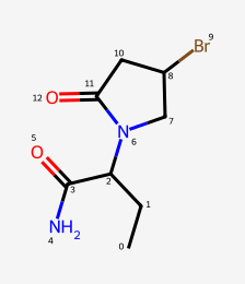 CCC(C(N)=O)N1CC(Br)CC1=O